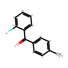 Cc1ccc(C(=O)c2ccccc2F)cc1